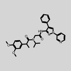 COc1ccc(C(C)C(=O)N(CC(=O)Nc2nn(-c3cccnc3)cc2-c2ccccc2)C(C)C)cc1OC